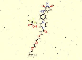 O=C(O)C(F)(F)F.O=C(O)CCOCCOCCOCCC(=O)N1CCN(c2ccc(NC3CCC(=O)NC3=O)cc2)CC1